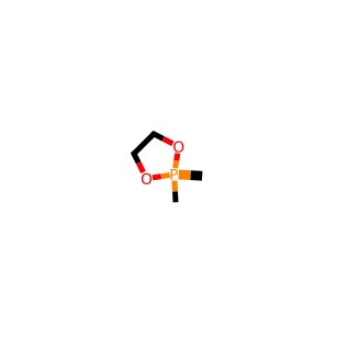 C=P1(C)OCCO1